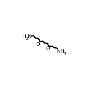 NCCCC(=O)CCCC(=O)CCCN